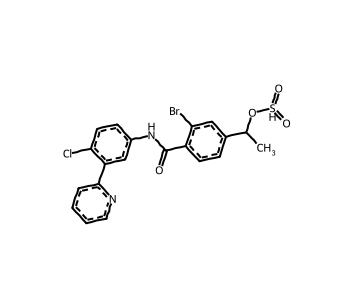 CC(O[SH](=O)=O)c1ccc(C(=O)Nc2ccc(Cl)c(-c3ccccn3)c2)c(Br)c1